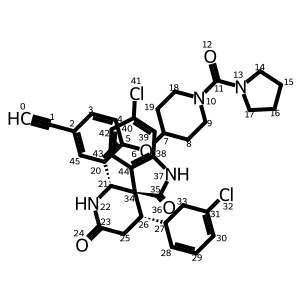 C#Cc1ccc(OC2CCN(C(=O)N3CCCC3)CC2)c([C@H]2NC(=O)C[C@@H](C3C=CC=C(Cl)C3)[C@]23C(=O)Nc2cc(Cl)ccc23)c1